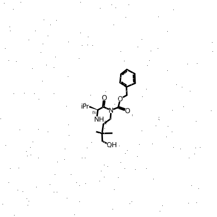 CC(C)[C@H](N)C(=O)N(CCC(C)(C)CO)C(=O)OCc1ccccc1